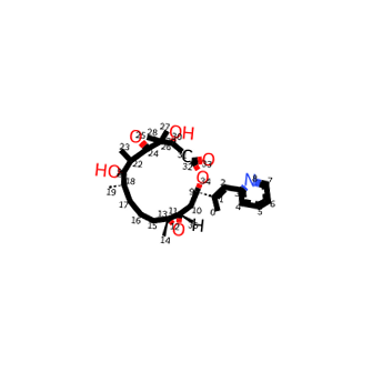 CC(=Cc1ccccn1)[C@@H]1C[C@@H]2O[C@]2(C)CCC[C@H](C)[C@H](O)C(C)C(=O)C(C)(C)C(O)CC(=O)O1